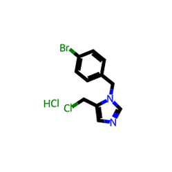 Cl.ClCc1cncn1Cc1ccc(Br)cc1